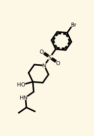 CC(C)NCC1(O)CCN(S(=O)(=O)c2ccc(Br)cc2)CC1